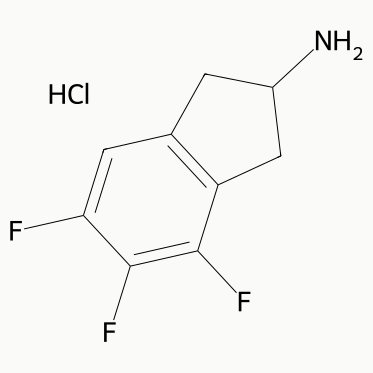 Cl.NC1Cc2cc(F)c(F)c(F)c2C1